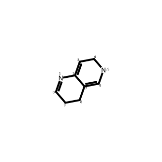 C1=NC2=CC[N]C=C2CC1